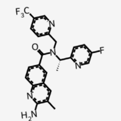 Cc1cc2cc(C(=O)N(Cc3ccc(C(F)(F)F)cn3)[C@@H](C)c3ccc(F)cn3)ccc2nc1N